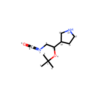 CC(C)(C)OC(CN=C=O)C1CCNC1